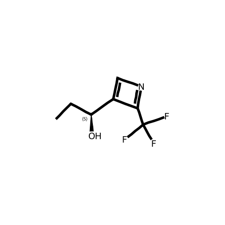 CC[C@H](O)C1=CN=C1C(F)(F)F